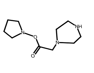 O=C(CN1CCNCC1)ON1CCCC1